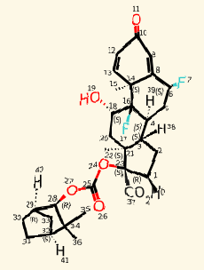 C[C@@H]1C[C@H]2[C@@H]3C[C@H](F)C4=CC(=O)C=C[C@]4(C)C3(F)[C@@H](O)C[C@]2(C)[C@]1(OC(=O)O[C@@H]1[C@@H]2CC[C@@H](C2)C1(C)C)C(=O)O